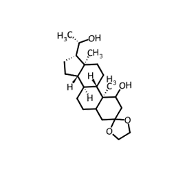 C[C@H](O)[C@H]1CC[C@H]2[C@@H]3CCC4CC5(CC(O)[C@]4(C)[C@H]3CC[C@]12C)OCCO5